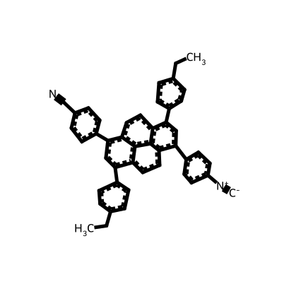 [C-]#[N+]c1ccc(-c2cc(-c3ccc(CC)cc3)c3ccc4c(-c5ccc(C#N)cc5)cc(-c5ccc(CC)cc5)c5ccc2c3c45)cc1